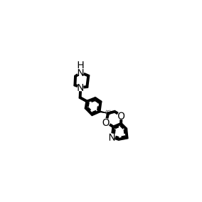 c1cnc2c(c1)OC[C@H](c1ccc(CN3CCNCC3)cc1)O2